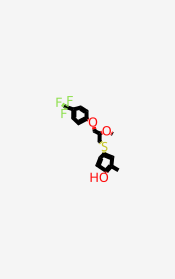 COC(COc1ccc(C(F)(F)F)cc1)CSc1ccc(O)c(C)c1